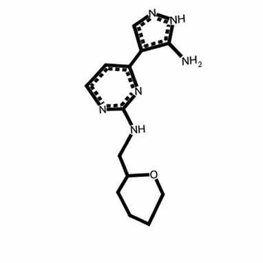 Nc1[nH]ncc1-c1ccnc(NCC2CCCCO2)n1